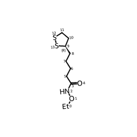 CCONC(=O)CCCC[C@@H]1CCSS1